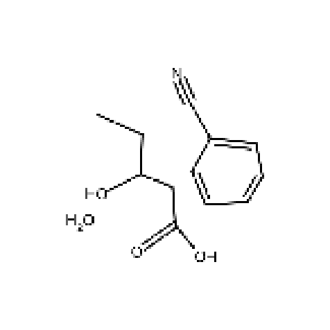 CCC(O)CC(=O)O.N#Cc1ccccc1.O